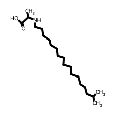 CC(C)CCCCCCCCCCCCCCCNC(C)C(=O)O